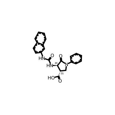 O=C(Nc1ccc2ccccc2c1)N[C@H]1C(=O)N(c2ccccc2)C[C@@H]1C(=O)O